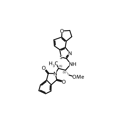 COC[C@@H](Nc1nc2c3c(ccc2s1)OCC3)[C@H](C)N1C(=O)c2ccccc2C1=O